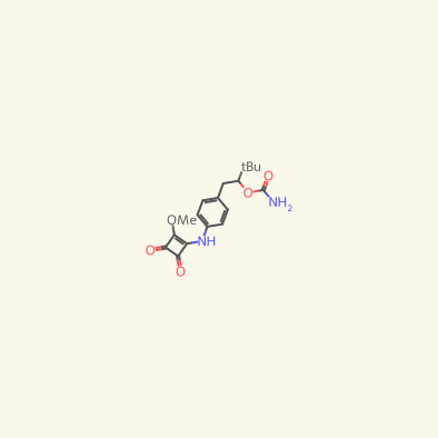 COc1c(Nc2ccc(CC(OC(N)=O)C(C)(C)C)cc2)c(=O)c1=O